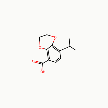 CC(C)c1ccc(C(=O)O)c2c1OCCO2